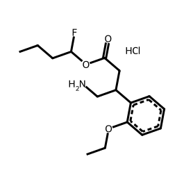 CCCC(F)OC(=O)CC(CN)c1ccccc1OCC.Cl